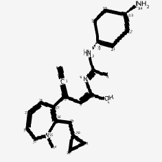 C=C=C(/C=C(O)\N=C(/C)N[C@H]1CC[C@H](N)CC1)C1=C(CC2CC2)N(C)CC=C=C1